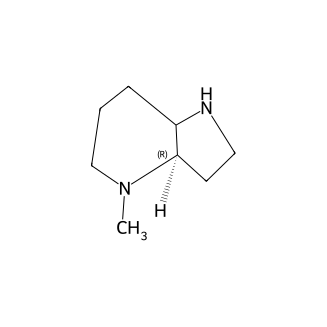 CN1CCCC2NCC[C@H]21